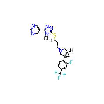 Cn1c(SCCCN2C[C@@H]3C[C@]3(c3ccc(C(F)(F)F)cc3F)C2)nnc1-c1cncnc1